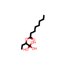 CCCCCCCC(=O)OC(CC)C(O)(O)O